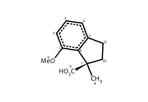 COc1cccc2c1[C@](C)(C(=O)O)CC2